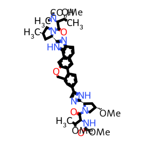 COC[C@H]1C[C@@H](c2ncc(-c3ccc4c(c3)COc3cc5c(ccc6nc([C@@H]7C[C@H](C)CN7C(=O)[C@H]([C@@H](C)OC)N(C)C(=O)O)[nH]c65)cc3-4)[nH]2)N(C(=O)[C@@H](NC(=O)OC)C(C)OC)C1